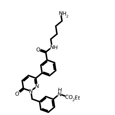 CCOC(=O)Nc1cccc(Cn2nc(-c3cccc(C(=O)NCCCCN)c3)ccc2=O)c1